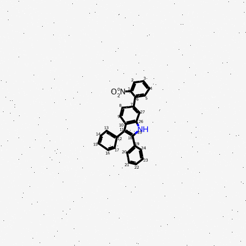 O=[N+]([O-])c1ccccc1-c1ccc2c(-c3ccccc3)c(-c3ccccc3)[nH]c2c1